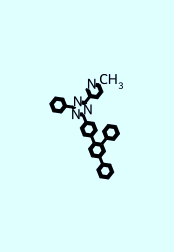 Cc1ccc(-c2nc(-c3ccccc3)nc(-c3ccc(-c4ccc(-c5ccccc5)cc4-c4ccccc4)cc3)n2)cn1